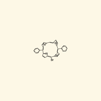 BrC1=C2C=CC(=N2)C(c2ccccc2)=C2C=CC(=N2)C=C2C=CC(=N2)C(c2ccccc2)=C2C=CC1=N2